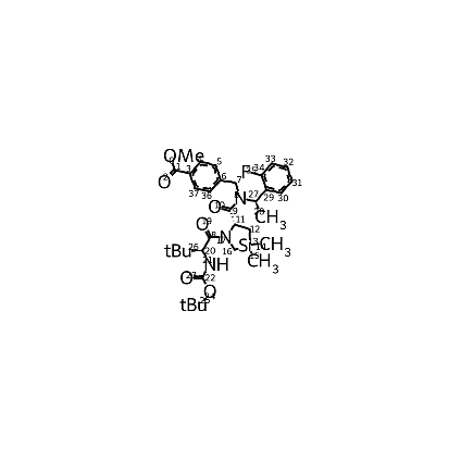 COC(=O)c1ccc(CN(C(=O)[C@@H]2C[Si](C)(C)CN2C(=O)[C@@H](NC(=O)OC(C)(C)C)C(C)(C)C)[C@H](C)c2ccccc2F)cc1